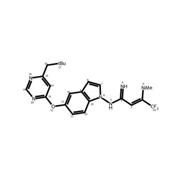 CN/C(=C\C(=N)Nn1ccc2cc(Oc3cc(CC(C)(C)C)ncn3)ccc21)C(F)(F)F